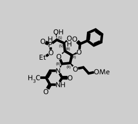 CCO[PH](=O)[C@H](O)[C@@H](O)[C@H]1O[C@@H](n2cc(C)c(=O)[nH]c2=O)[C@H](OCCOC)[C@@H]1OC(=O)c1ccccc1